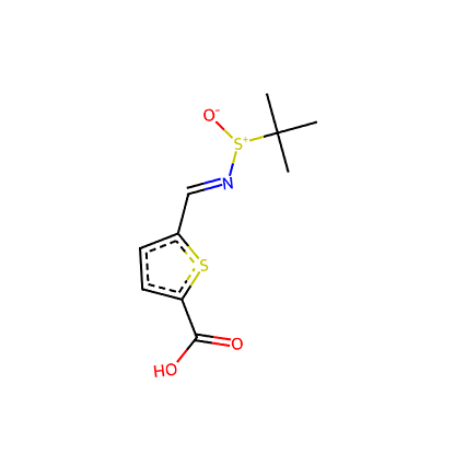 CC(C)(C)[S+]([O-])N=Cc1ccc(C(=O)O)s1